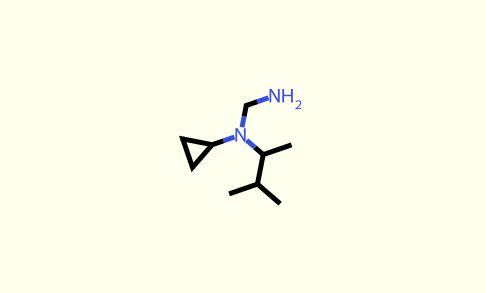 CC(C)C(C)N(CN)C1CC1